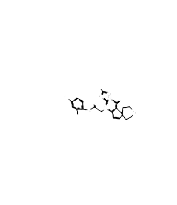 O=C(Cn1c2c(c(=O)n3nc(Br)nc13)C1(C=C2)CCNCC1)Nc1ccc(C(F)(F)F)cc1Cl